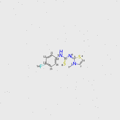 Cn1ccsc1=NC(=S)Nc1ccc(F)cc1